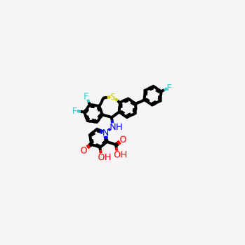 O=C(O)c1c(O)c(=O)ccn1NC1c2ccc(-c3ccc(F)cc3)cc2SCc2c1ccc(F)c2F